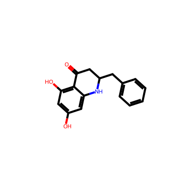 O=C1CC(Cc2ccccc2)Nc2cc(O)cc(O)c21